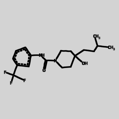 CC(C)CCC1(O)CCN(C(=O)Nc2cccc(C(F)(F)F)c2)CC1